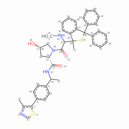 Cc1ncsc1-c1ccc(C(C)NC(=O)[C@@H]2C[C@@H](O)CN2C(=O)C(NC(=O)O)C(C)(C)SC(c2ccccc2)(c2ccccc2)c2ccccc2)cc1